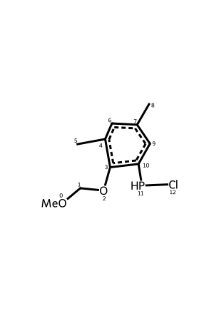 COCOc1c(C)cc(C)cc1PCl